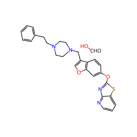 O=CO.c1ccc(CCN2CCN(Cc3coc4cc(Oc5nc6ncccc6s5)ccc34)CC2)cc1